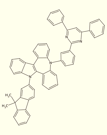 CC1(C)c2ccccc2-c2ccc(-n3c4c(c5ccccc53)-c3ccccc3N(c3cccc(-c5nc(-c6ccccc6)cc(-c6ccccc6)n5)c3)c3ccccc3-4)cc21